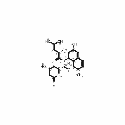 C[C@H]1C=C2C=C[C@H](C)[C@H](CC[C@H]3C[C@@H](O)CC(=O)O3)[C@H]2[C@@H](OC(=O)[C@@H](C)CC(O)O)C1